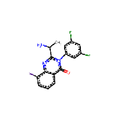 CC(N)c1nc2c(I)cccc2c(=O)n1-c1cc(F)cc(F)c1